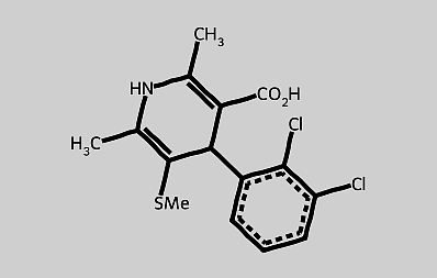 CSC1=C(C)NC(C)=C(C(=O)O)C1c1cccc(Cl)c1Cl